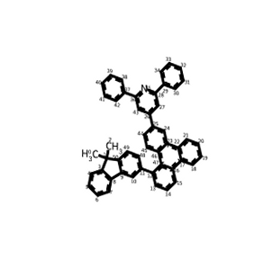 CC1(C)c2ccccc2-c2cc(-c3cccc4c5ccccc5c5cc(-c6cc(-c7ccccc7)nc(-c7ccccc7)c6)ccc5c34)ccc21